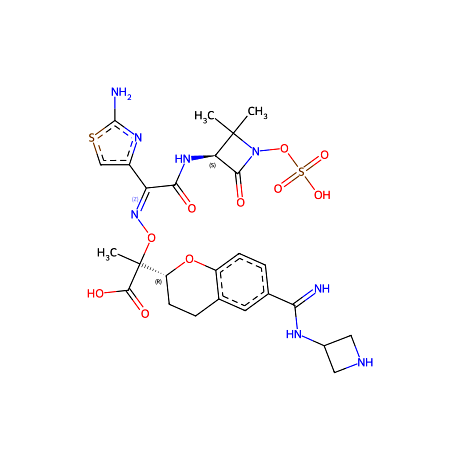 CC(O/N=C(\C(=O)N[C@@H]1C(=O)N(OS(=O)(=O)O)C1(C)C)c1csc(N)n1)(C(=O)O)[C@H]1CCc2cc(C(=N)NC3CNC3)ccc2O1